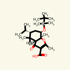 CC1=C(C(=O)O)C(=O)[C@]2(C)C(C)(C)[C@H](C(C)C)C[C@H](O[Si](C)(C)C(C)(C)C)[C@@]2(C)O1